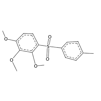 COc1ccc(S(=O)(=O)c2ccc(C)cc2)c(OC)c1OC